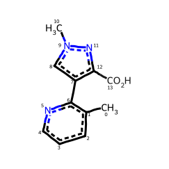 Cc1cccnc1-c1cn(C)nc1C(=O)O